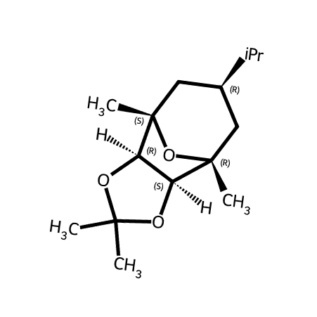 CC(C)[C@H]1C[C@@]2(C)O[C@@](C)(C1)[C@@H]1OC(C)(C)O[C@@H]12